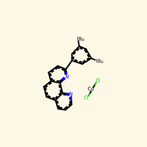 CC(C)(C)c1cc(-c2ccc3ccc4cccnc4c3n2)cc(C(C)(C)C)c1.[Cl][Co][Cl]